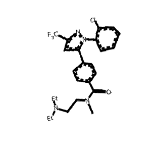 CCN(CC)CCN(C)C(=O)c1ccc(-c2cc(C(F)(F)F)nn2-c2ccccc2Cl)cc1